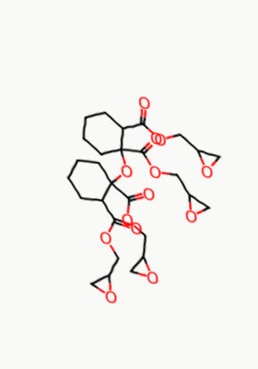 O=C(OCC1CO1)C1CCCCC1(OC1(C(=O)OCC2CO2)CCCCC1C(=O)OCC1CO1)C(=O)OCC1CO1